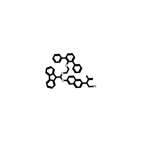 C=C(C)C(CC(C)C)c1ccc2cc(OC(OCCOc3c(-c4ccccc4)cccc3-c3ccccc3)C3c4ccccc4-c4ccccc43)ccc2c1